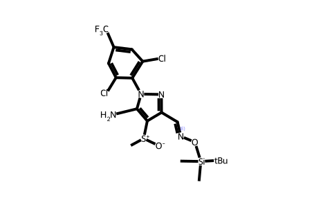 C[S+]([O-])c1c(/C=N/O[Si](C)(C)C(C)(C)C)nn(-c2c(Cl)cc(C(F)(F)F)cc2Cl)c1N